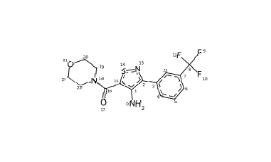 Nc1c(-c2cccc(C(F)(F)F)c2)nsc1C(=O)N1CCOCC1